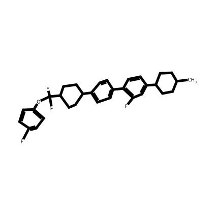 CC1CCC(c2ccc(-c3ccc(C4CCC(C(F)(F)Oc5ccc(F)cc5)CC4)cc3)c(F)c2)CC1